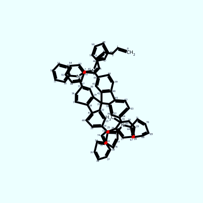 C=CC/C=C\C=C/CN(c1ccccc1)c1ccc2c(c1)C1(c3cc(N(C4=CC=CCC4C)c4ccccc4)ccc3-2)c2cc(N(c3ccccc3)c3ccccc3)ccc2-c2ccc(N(c3ccccc3)c3ccccc3)cc21